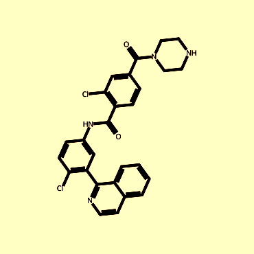 O=C(Nc1ccc(Cl)c(-c2nccc3ccccc23)c1)c1ccc(C(=O)N2CCNCC2)cc1Cl